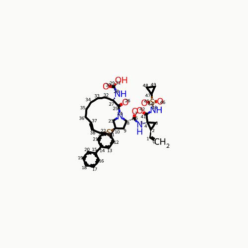 C=C[C@@H]1C[C@]1(NC(=O)[C@@H]1C[C@@]2(c3ccc(-c4ccccc4)cc3)CN1C(=O)[C@@H](NC(=O)O)CCCCC/C=C/CS2)C(=O)NS(=O)(=O)C1CC1